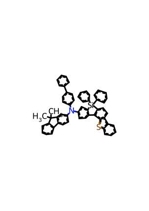 CC1(C)c2ccccc2-c2ccc(N(c3ccc(-c4ccccc4)cc3)c3ccc4c(c3)[Si](c3ccccc3)(c3ccccc3)c3ccc5c(sc6ccccc65)c3-4)cc21